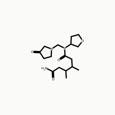 CC(CC(N)=O)C(C)CC(=O)N(CN1CCC(=O)C1)C1CCOC1